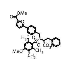 COC(=O)c1ccc(-c2ccc(CN(C(Cc3ccccc3)C(=O)O)S(=O)(=O)c3c(C)cc(OC)c(C)c3C)cc2)o1